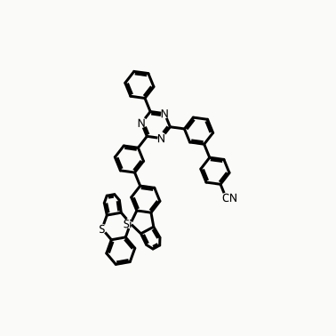 N#Cc1ccc(-c2cccc(-c3nc(-c4ccccc4)nc(-c4cccc(-c5ccc6c(c5)[Si]5(c7ccccc7Sc7ccccc75)c5ccccc5-6)c4)n3)c2)cc1